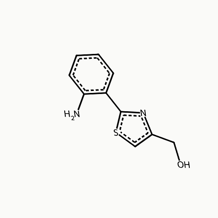 Nc1ccccc1-c1nc(CO)cs1